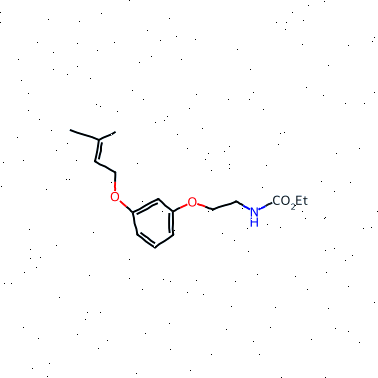 CCOC(=O)NCCOc1cccc(OCC=C(C)C)c1